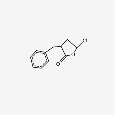 O=C1OC(Cl)CC1Cc1ccccc1